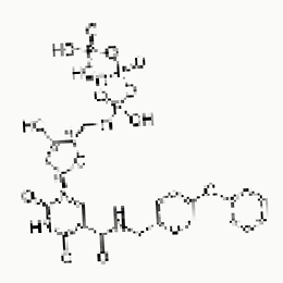 O=C(NCc1ccc(Oc2ccccc2)cc1)c1cn([C@H]2C[C@H](O)[C@@H](COP(=O)(O)OP(=O)(O)OP(=O)(O)O)O2)c(=O)[nH]c1=O